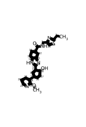 CCc1nc(CNC(=O)c2ccc3[nH]c(-c4cc(-c5cccnc5OC)ccc4O)nc3c2)cs1